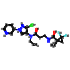 CCN(C(=O)CCNC(=O)C1(C)CC1(F)F)c1cn(-c2cccnc2)nc1Cl